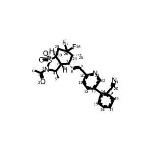 CC(=O)N1[C@H](C)[C@H]2[C@@H](/C=C/c3ccc(-c4ccccc4C#N)cn3)[C@@H](C)C(F)(F)C[C@H]2S1(=O)=O